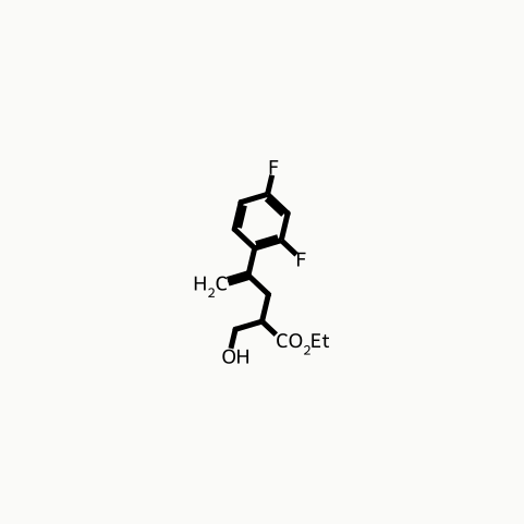 C=C(CC(CO)C(=O)OCC)c1ccc(F)cc1F